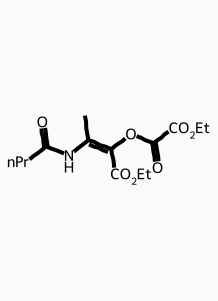 CCCC(=O)N/C(C)=C(/OC(=O)C(=O)OCC)C(=O)OCC